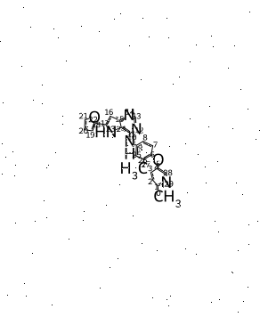 Cc1ccc(Oc2ccc(Nc3ncnc4cc(-c5ccco5)[nH]c34)cc2C)cn1